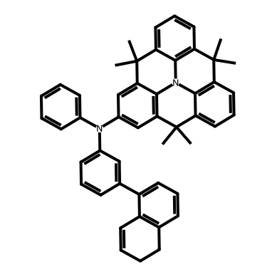 CC1(C)c2cccc3c2N2c4c1cccc4C(C)(C)c1cc(N(c4ccccc4)c4cccc(-c5cccc6c5C=CCC6)c4)cc(c12)C3(C)C